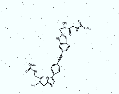 CCCN(Cc1ncc(-c2ccc(C#Cc3ccc4nc(CN(CCC)C(=O)CNC(=O)OC)[nH]c4c3)cc2)[nH]1)C(=O)CNC(=O)OC